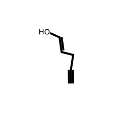 C#CCC=CO